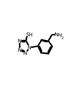 NCc1cccc(-n2nnnc2S)c1